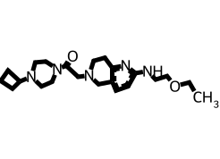 CCOCCNc1ccc2c(n1)CCN(CC(=O)N1CCN(C3CCC3)CC1)C2